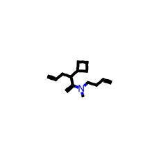 C=CCCN(C)C(=C)C(CC=C)C1CCC1